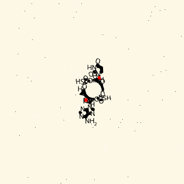 Nc1ncnc2c1ncn2[C@@H]1OC23C[C@@H]2OP(=O)(S)O[C@@H]2[C@H](F)C(COP(=O)(S)O[C@@H]1[C@@H]3F)O[C@H]2n1ccc(=O)[nH]c1=O